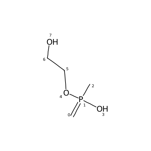 C=P(C)(O)OCCO